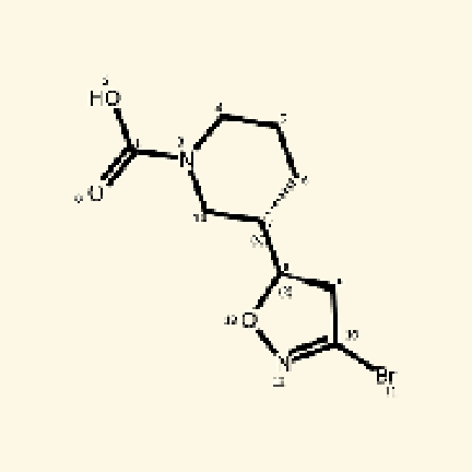 O=C(O)N1CCC[C@H]([C@H]2CC(Br)=NO2)C1